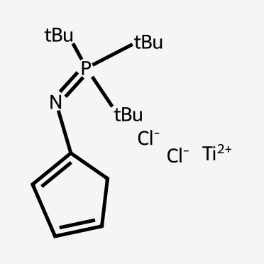 CC(C)(C)P(=NC1=CC=CC1)(C(C)(C)C)C(C)(C)C.[Cl-].[Cl-].[Ti+2]